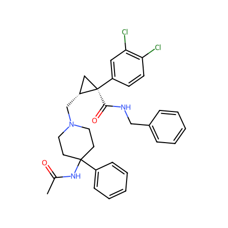 CC(=O)NC1(c2ccccc2)CCN(C[C@@H]2C[C@@]2(C(=O)NCc2ccccc2)c2ccc(Cl)c(Cl)c2)CC1